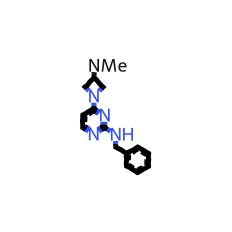 CNC1CN(c2ccnc(NCc3ccccc3)n2)C1